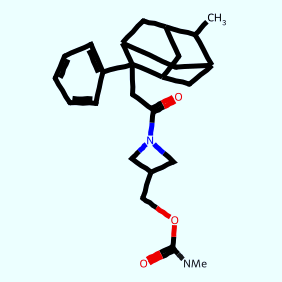 CNC(=O)OCC1CN(C(=O)CC2(c3ccccc3)C3CC4CC2CC(C3)C4C)C1